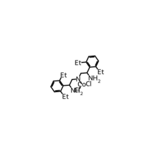 CCc1cccc(CC)c1C(N)C[N](CC(N)c1c(CC)cccc1CC)[Co]([Cl])[Cl]